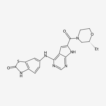 CC[C@@H]1CN(C(=O)c2cc3c(Nc4ccc5[nH]c(=O)sc5c4)ncnc3[nH]2)CCO1